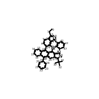 CCc1nn2c3c4c(ccc13)-c1c3ccccc3c(-c3ccccc3)c3cc5c(C(C)(C)C)nn6c5c(c13)B4c1c-2cccc1-6